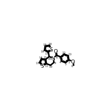 COc1ccc(C(=O)N2CCc3sccc3C2c2cccs2)cc1